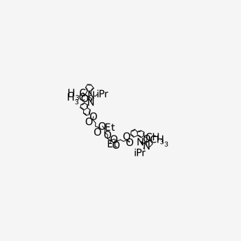 CCC(COCC(CC)OC(=O)CCC(=O)Oc1ccc2ccc3c(c2c1)N=CC1(O3)N(CC(C)C)c2ccccc2C1(C)C)OC(=O)CCC(=O)Oc1ccc2ccc3c(c2c1)N=CC1(O3)N(CC(C)C)CCC1(C)C